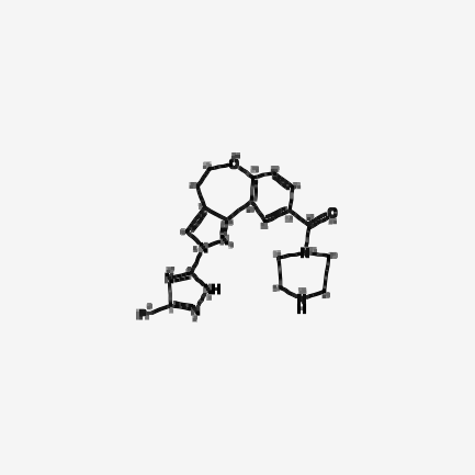 CC(C)c1n[nH]c(-n2cc3c(n2)-c2cc(C(=O)N4CCNCC4)ccc2OCC3)n1